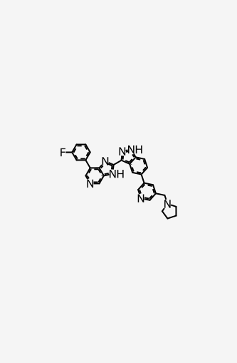 Fc1cccc(-c2cncc3[nH]c(-c4n[nH]c5ccc(-c6cncc(CN7CCCC7)c6)cc45)nc23)c1